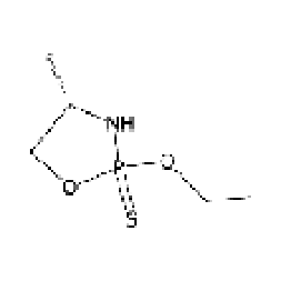 CCOP1(=S)N[C@@H](C)CO1